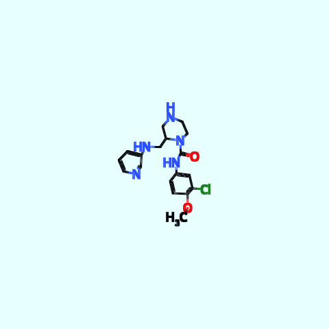 COc1ccc(NC(=O)N2CCNCC2CNc2cccnc2)cc1Cl